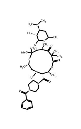 CO[C@]1(C)C[C@@H](C)CN(C)[C@@H](C(=O)N2CCN(C(=O)c3ccccc3)CC2)[C@H](C)OC(=O)C(C)(C)C(=O)[C@H](C)[C@H]1O[C@@H]1O[C@H](C)C[C@H](N(C)C)[C@H]1O